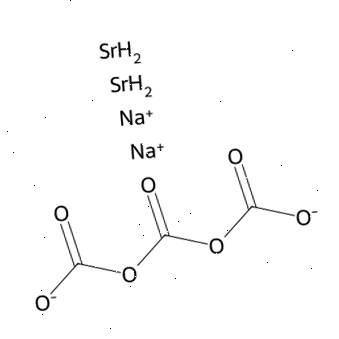 O=C([O-])OC(=O)OC(=O)[O-].[Na+].[Na+].[SrH2].[SrH2]